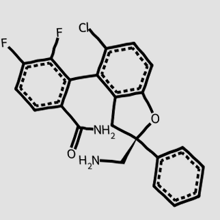 NC[C@@]1(c2ccccc2)Cc2c(ccc(Cl)c2-c2c(C(N)=O)ccc(F)c2F)O1